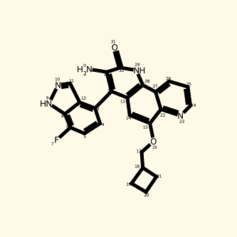 Nc1c(-c2ccc(F)c3[nH]ncc23)c2cc(OCC3CCC3)c3ncccc3c2[nH]c1=O